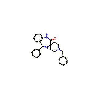 O=C1Nc2ccccc2C(c2ccccc2)=NC12CCN(Cc1ccccc1)CC2